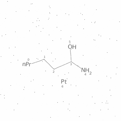 CCCCCC(N)O.[Pt]